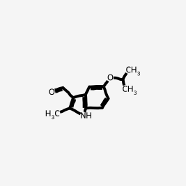 Cc1[nH]c2ccc(OC(C)C)cc2c1C=O